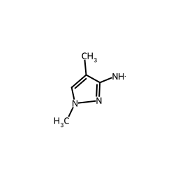 Cc1cn(C)nc1[NH]